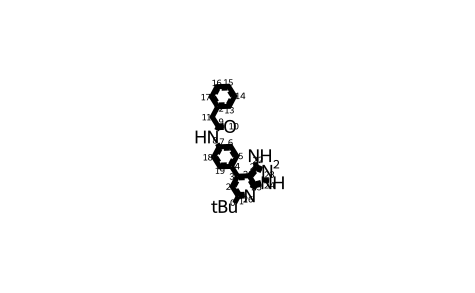 CC(C)(C)c1cc(-c2ccc(NC(=O)Cc3ccccc3)cc2)c2c(N)n[nH]c2n1